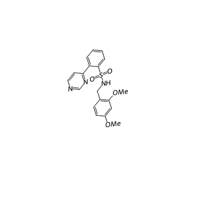 COc1ccc(CNS(=O)(=O)c2ccccc2-c2ccncn2)c(OC)c1